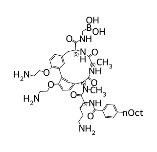 CCCCCCCCc1ccc(C(=O)N[C@@H](CCCN)C(=O)N(C)[C@@H]2C(=O)N[C@@H](C)C(=O)N[C@H](C(=O)NCB(O)O)Cc3ccc(OCCN)c(c3)-c3cc2ccc3OCCN)cc1